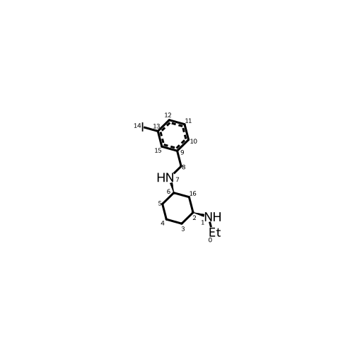 CCN[C@H]1CCC[C@@H](NCc2cccc(I)c2)C1